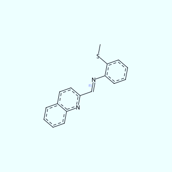 CSc1ccccc1/N=C/c1ccc2ccccc2n1